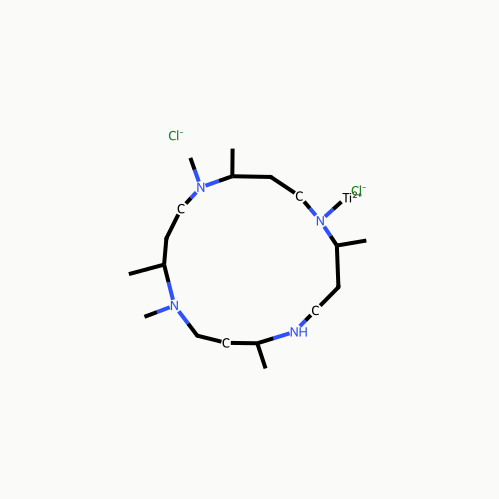 CC1CCN(C)C(C)CCN(C)C(C)CC[N]([Ti+2])C(C)CCN1.[Cl-].[Cl-]